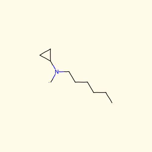 [CH2]N(CCCCCC)C1CC1